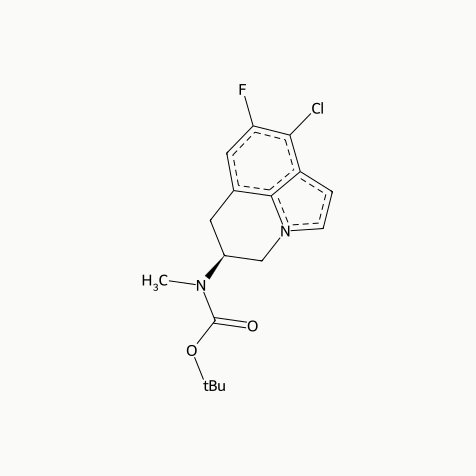 CN(C(=O)OC(C)(C)C)[C@H]1Cc2cc(F)c(Cl)c3ccn(c23)C1